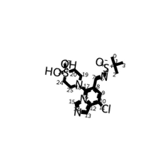 CC(C)(C)[S+]([O-])N=Cc1cc(Cl)c2cncn2c1N1CCS(O)(O)CC1